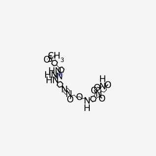 C[S+]([O-])c1ccc(-c2ccc/c(=N/C(=N)Nc3ccc(N4CCN(C(=O)CCOCCNc5ccc6c(c5)C(=O)N(C5CCC(=O)NC5=O)C6=O)CC4)cc3)[nH]2)cc1